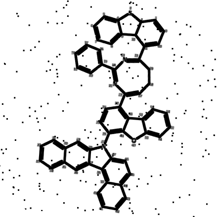 C1=CC2Sc3ccccc3C2C(/C2=N/C(c3ccccc3)=N\C(c3ccc(-n4c5cc6ccccc6cc5c5c6ccccc6ccc54)c4oc5ccccc5c34)=C/CC2)=C1